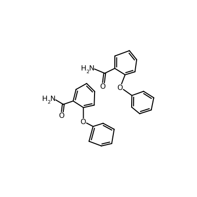 NC(=O)c1ccccc1Oc1ccccc1.NC(=O)c1ccccc1Oc1ccccc1